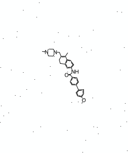 COc1ccc(-c2ccc(C(=O)Nc3ccc4c(c3)CCC(CN3CCN(C)CC3)=C4C)cc2)cc1